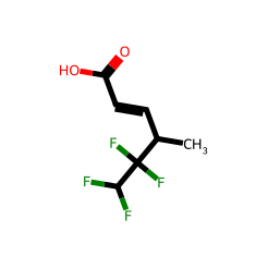 CC(C=CC(=O)O)C(F)(F)C(F)F